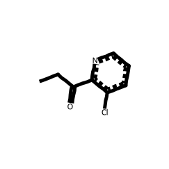 CCC(=O)c1ncccc1Cl